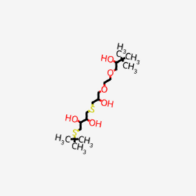 CC(C)(C)SCC(O)C(O)CSCC(O)COCCOCC(O)C(C)(C)C